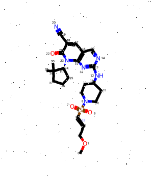 COC/C=C/S(=O)(=O)N1CCC(Nc2ncc3cc(C#N)c(=O)n([C@@H]4CCCC4(C)C)c3n2)CC1